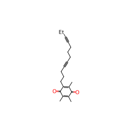 CCC#CCCCC#CCCCC1=C(C)C(=O)C(C)=C(C)C1=O